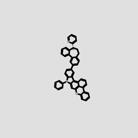 c1ccc(-n2c3ccc(-c4ccc5c(c4)-c4ccccc4[C@H](c4ccccn4)CC5)cc3c3c4cccc5c4c(cc32)Oc2ccccc2-5)cc1